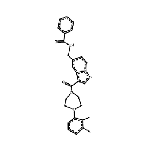 Cc1cccc(N2CCN(C(=O)c3cnn4ccc(CNC(=O)c5ccccc5)cc34)CC2)c1C